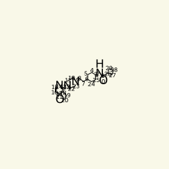 O=C(NC1CCC(CCN2CCN(c3nccc4c3CCO4)CC2)CC1)C1CCC1